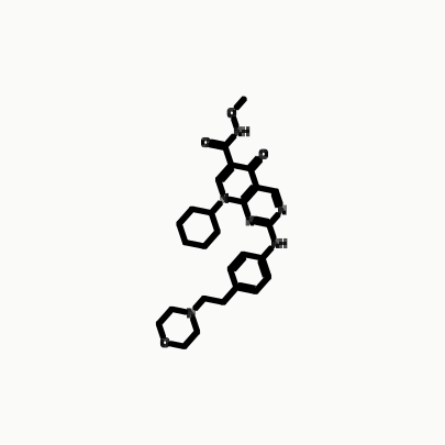 CONC(=O)c1cn(C2CCCCC2)c2nc(Nc3ccc(CCN4CCOCC4)cc3)ncc2c1=O